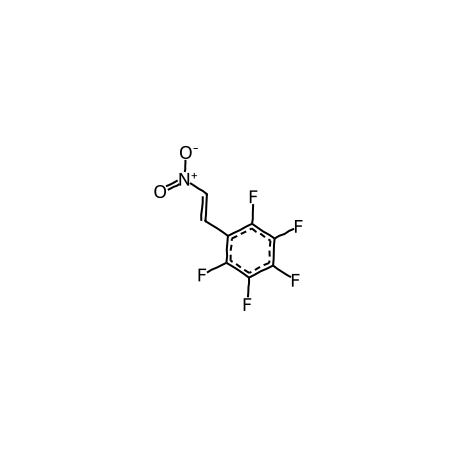 O=[N+]([O-])/C=C/c1c(F)c(F)c(F)c(F)c1F